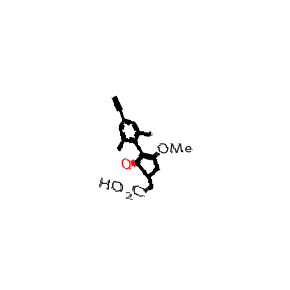 C#Cc1cc(C)c(C2=C(OC)CC(CC(=O)O)C2=O)c(C)c1